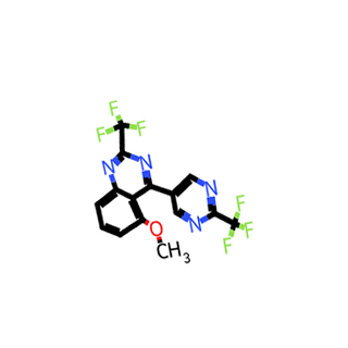 COc1cccc2nc(C(F)(F)F)nc(-c3cnc(C(F)(F)F)nc3)c12